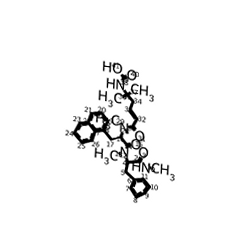 CNC(=O)C(Cc1ccccc1)N(C)C(=O)[C@@H](Cc1cccc2ccccc12)N(C)C(=O)/C=C/CC(C)(C)NC(=O)O